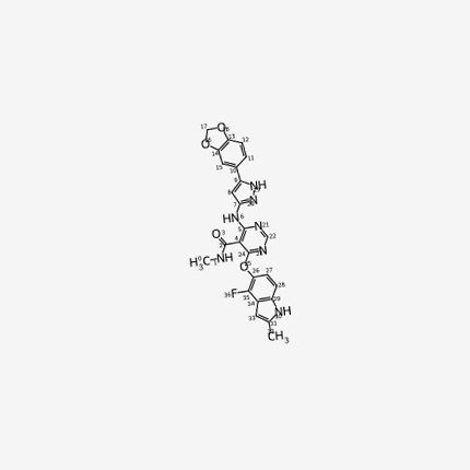 CNC(=O)c1c(Nc2cc(-c3ccc4c(c3)OCO4)[nH]n2)ncnc1Oc1ccc2[nH]c(C)cc2c1F